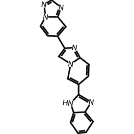 c1ccc2[nH]c(-c3ccc4nc(-c5ccn6ncnc6c5)cn4c3)nc2c1